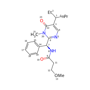 CCCC(CC)c1cnc([C@@H](NC(=O)CCOC)c2ccccc2)n(C)c1=O